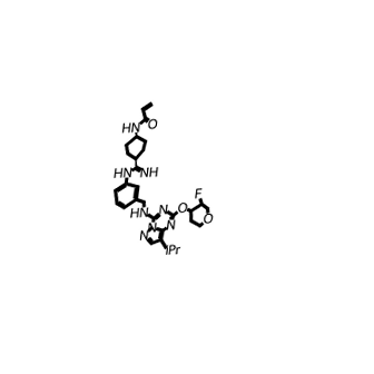 C=CC(=O)N[C@H]1CC[C@@H](C(=N)Nc2cccc(CNc3nc(OC4CCOCC4F)nc4c(C(C)C)cnn34)c2)CC1